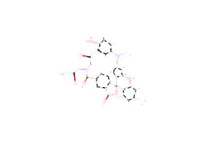 COC(=O)CN(CC(=O)OC)C(=O)c1ccc2c(c1)C(=O)OC21c2ccc(OC(C)=O)cc2Oc2cc(N(C)c3ccc(O)cc3)ccc21